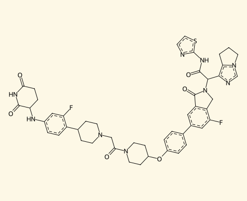 O=C1CCC(Nc2ccc(C3CCN(CC(=O)N4CCC(Oc5ccc(-c6cc(F)c7c(c6)C(=O)N(C(C(=O)Nc6nccs6)c6ncn8c6CCC8)C7)cc5)CC4)CC3)c(F)c2)C(=O)N1